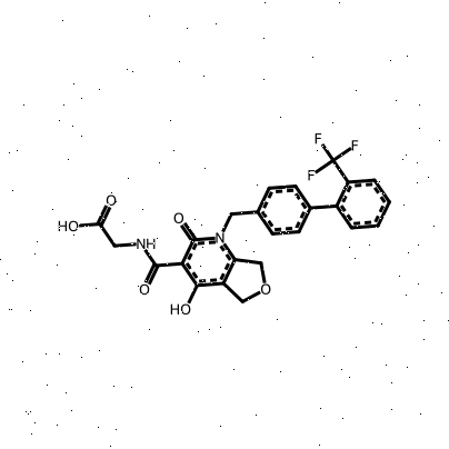 O=C(O)CNC(=O)c1c(O)c2c(n(Cc3ccc(-c4ccccc4C(F)(F)F)cc3)c1=O)COC2